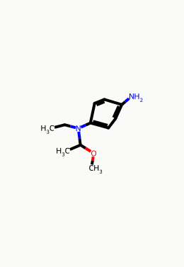 CCN(c1ccc(N)cc1)C(C)OC